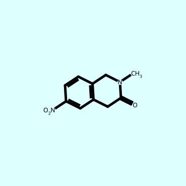 CN1Cc2ccc([N+](=O)[O-])cc2CC1=O